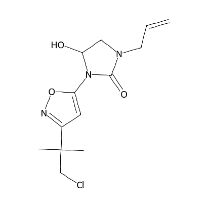 C=CCN1CC(O)N(c2cc(C(C)(C)CCl)no2)C1=O